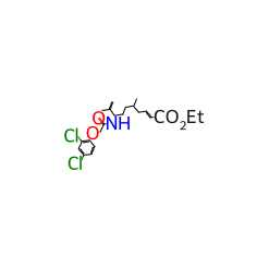 C=C(C)C(CCC(C)CC=CC(=O)OCC)NC(=O)COc1ccc(Cl)cc1Cl